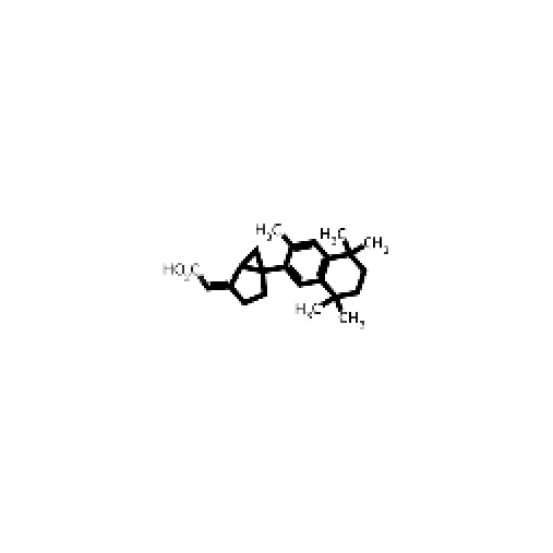 Cc1cc2c(cc1C13CCC(=CC(=O)O)C1C3)C(C)(C)CCC2(C)C